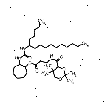 CCCCCCCCCCC(CCCCC)NC(=O)NC1CCCCCC1OC(=O)CCNC(=O)C1OC(C)(C)OCC1(C)C